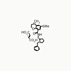 CSc1cc(C(=O)NC[C@H]2CCCN2Cc2ccccc2)c2c(c1)N(C)CCO2.O=C(O)/C=C/C(=O)O